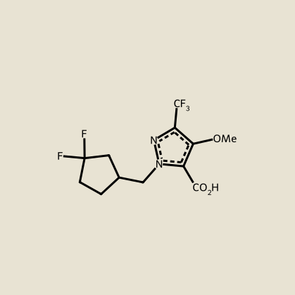 COc1c(C(F)(F)F)nn(CC2CCC(F)(F)C2)c1C(=O)O